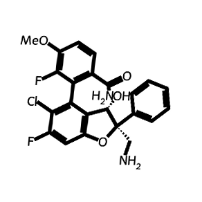 COc1ccc(C(N)=O)c(-c2c(Cl)c(F)cc3c2[C@H](O)[C@@](CN)(c2ccccc2)O3)c1F